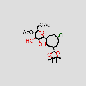 CC(=O)OC[C@H]1O[C@H](C2CCC(Cl)CCC(B3OC(C)(C)C(C)(C)O3)CC2)[C@@H](O)[C@@H](O)[C@@H]1OC(C)=O